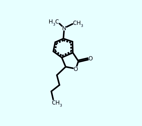 CCCCC1OC(=O)c2cc(N(C)C)ccc21